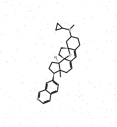 CN(C1CC1)C1CCC2=CC3=CCC4(C)[C@@H](c5ccc6ccncc6c5)CC[C@H]4[C@@]34CC[C@]2(C1)O4